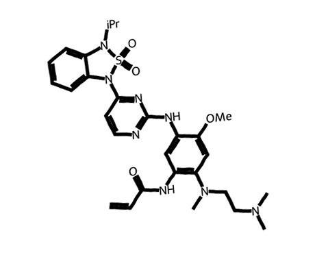 C=CC(=O)Nc1cc(Nc2nccc(N3c4ccccc4N(C(C)C)S3(=O)=O)n2)c(OC)cc1N(C)CCN(C)C